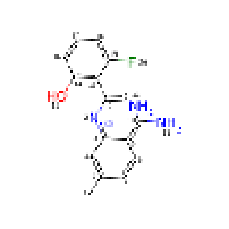 C=C(/N=C1/C=C(C)C=CC1=C(N)N)c1c(O)cccc1F